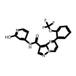 O=C(Nc1ccnc(O)c1)c1cnn2ccc(-c3ccccc3OC(F)(F)F)nc12